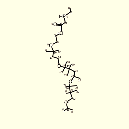 CCPCC(=O)OCCOC(C)(C)CCOC(C)(C)C(C)(C)CC(C)OC(C)(C)C(C)(C)COC(C)C